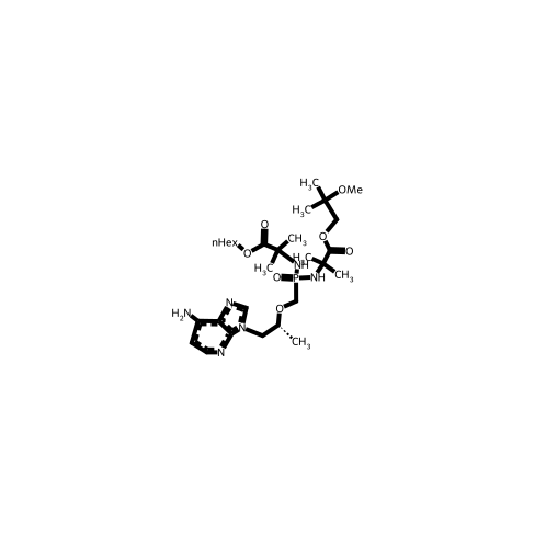 CCCCCCOC(=O)C(C)(C)NP(=O)(CO[C@H](C)Cn1cnc2c(N)ccnc21)NC(C)(C)C(=O)OCC(C)(C)OC